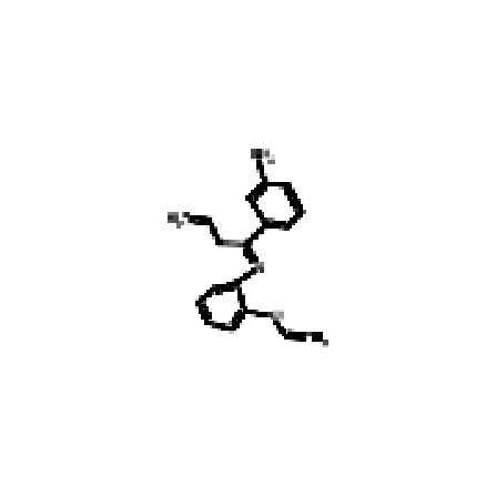 C=CC/C(=N\c1ccccc1NC=C)c1cccc(N)c1